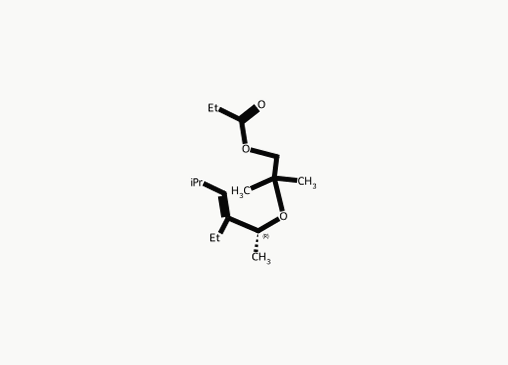 CCC(=O)OCC(C)(C)O[C@H](C)C(=CC(C)C)CC